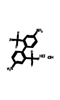 Cl.Cl.Nc1ccc(-c2ccc(N)cc2C(F)(F)F)c(C(F)(F)F)c1